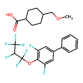 COCC1CCC(C(=O)O)CC1.Fc1cc(-c2ccccc2)cc(F)c1OC(F)(F)C(F)C(F)(F)F